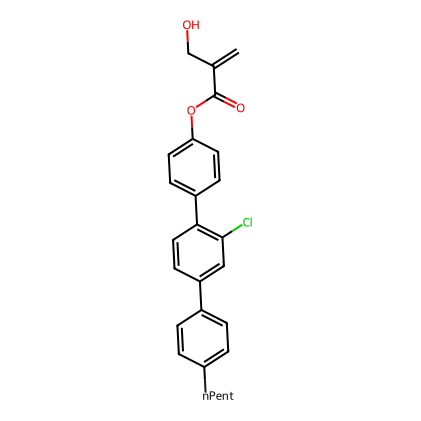 C=C(CO)C(=O)Oc1ccc(-c2ccc(-c3ccc(CCCCC)cc3)cc2Cl)cc1